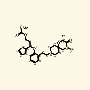 CNC(=O)OCCC(Oc1ccccc1CCN1CCC2(CC1)CN(C(C)C)C(=O)[C@@H](C)O2)c1cccs1